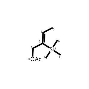 CC=C(COC(C)=O)[Si](C)(C)C